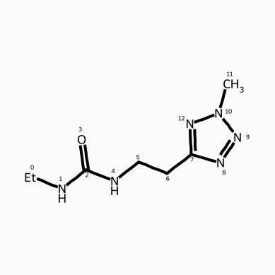 CCNC(=O)NCCc1nnn(C)n1